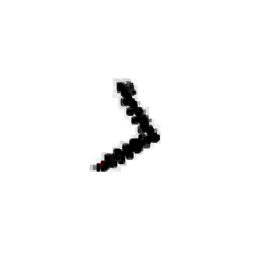 [In+3].[In+3].[In+3].[O]=[Nb](=[O])[O-].[O]=[Nb](=[O])[O-].[O]=[Nb](=[O])[O-].[O]=[Nb](=[O])[O-].[O]=[Nb](=[O])[O-].[O]=[Ti]([O-])[O-].[O]=[Ti]([O-])[O-].[O]=[Ti]([O-])[O-].[O]=[Ti]([O-])[O-].[O]=[Ti]([O-])[O-].[Pb+2].[Pb+2].[Pb+2]